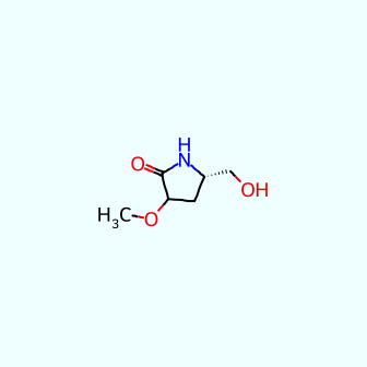 COC1C[C@@H](CO)NC1=O